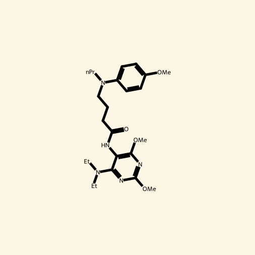 CCCN(CCCC(=O)Nc1c(OC)nc(OC)nc1N(CC)CC)c1ccc(OC)cc1